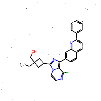 CCC1(CO)CC(c2nc(-c3ccc4ccc(-c5ccccc5)nc4c3)c3c(Cl)nccn23)C1